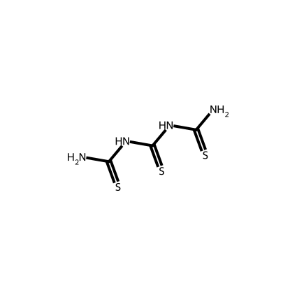 NC(=S)NC(=S)NC(N)=S